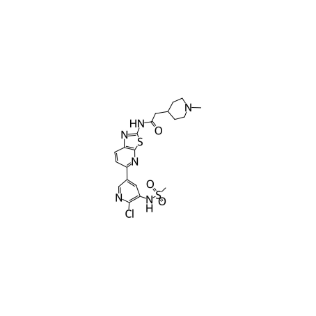 CN1CCC(CC(=O)Nc2nc3ccc(-c4cnc(Cl)c(NS(C)(=O)=O)c4)nc3s2)CC1